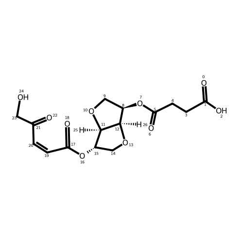 O=C(O)CCC(=O)O[C@@H]1CO[C@H]2[C@@H]1OC[C@@H]2OC(=O)/C=C\C(=O)CO